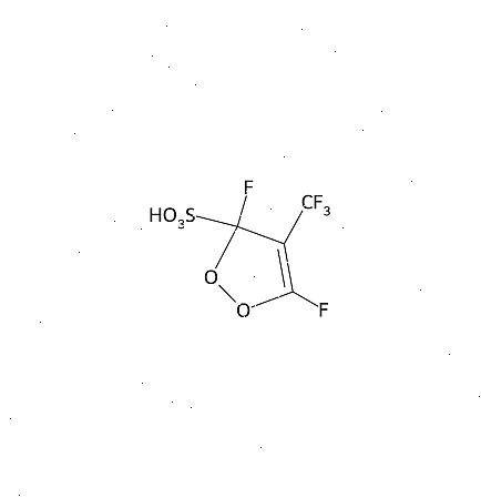 O=S(=O)(O)C1(F)OOC(F)=C1C(F)(F)F